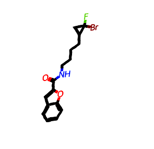 O=C(NCCCCC1CC1(F)Br)c1cc2ccccc2o1